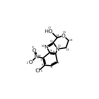 O=[N+]([O-])c1c(Cl)ccc2c1nc1n2CCOC1O